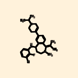 C/C(N)=C1\c2ccc(C3=CCN(C(C)C)CC3)cc2C(Nc2cccc(Cl)c2F)CCN1N